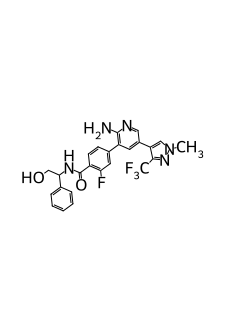 Cn1cc(-c2cnc(N)c(-c3ccc(C(=O)NC(CO)c4ccccc4)c(F)c3)c2)c(C(F)(F)F)n1